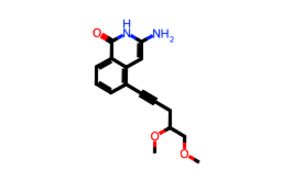 COCC(CC#Cc1cccc2c(=O)[nH]c(N)cc12)OC